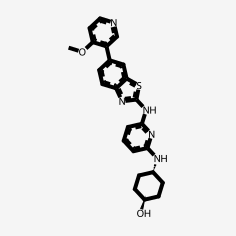 COc1ccncc1-c1ccc2nc(Nc3cccc(N[C@H]4CC[C@H](O)CC4)n3)sc2c1